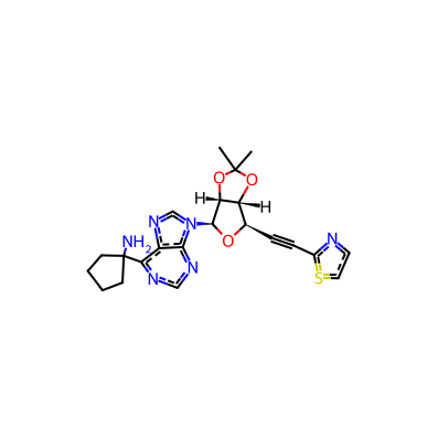 CC1(C)O[C@@H]2[C@H](O1)[C@@H](C#Cc1nccs1)O[C@H]2n1cnc2c(C3(N)CCCC3)ncnc21